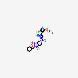 COc1cc(-c2cc(C(=O)N3CCC(C(=O)NCC4(O)CCCCC4)CC3)n[nH]2)c(Cl)cn1